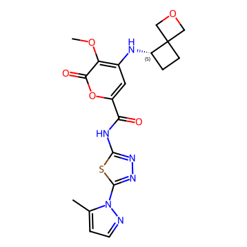 COc1c(N[C@H]2CCC23COC3)cc(C(=O)Nc2nnc(-n3nccc3C)s2)oc1=O